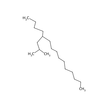 [CH2]CCCC(CCCCCCCCCC)CC(C)C